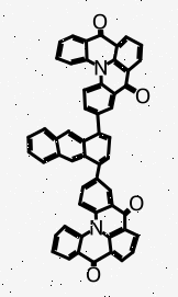 O=c1c2ccccc2n2c3ccc(-c4ccc(-c5ccc6c(c5)c(=O)c5cccc7c(=O)c8ccccc8n6c75)c5cc6ccccc6cc45)cc3c(=O)c3cccc1c32